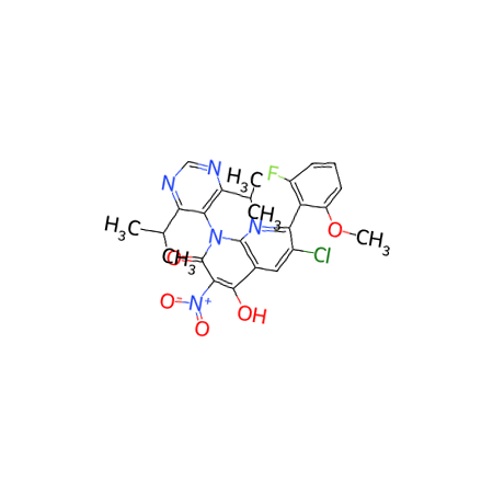 COc1cccc(F)c1-c1nc2c(cc1Cl)c(O)c([N+](=O)[O-])c(=O)n2-c1c(C(C)C)ncnc1C(C)C